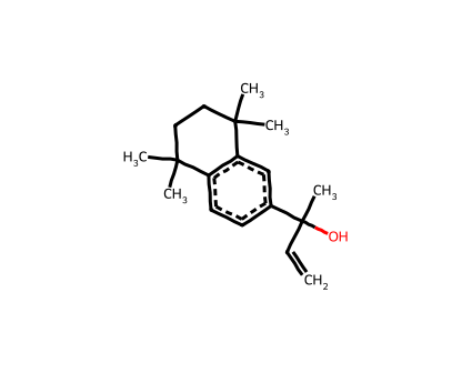 C=CC(C)(O)c1ccc2c(c1)C(C)(C)CCC2(C)C